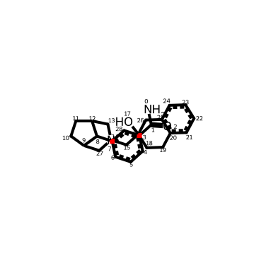 NC(=O)c1cccc(C2C3CCC2CN(CC2(O)CCc4ccccc4C2)C3)c1